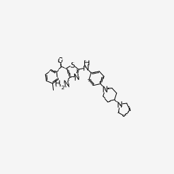 Cc1cccc(C(=O)c2sc(Nc3ccc(N4CCC(N5CCCC5)CC4)cc3)nc2N)c1